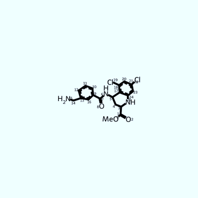 COC(=O)C1CC(NC(=O)c2cccc(CN)c2)c2c(Cl)cc(Cl)cc2N1